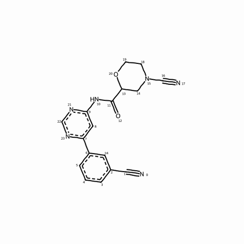 N#Cc1cccc(-c2cc(NC(=O)C3CN(C#N)CCO3)ncn2)c1